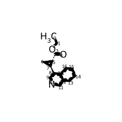 CCOC(=O)[C@H]1C[C@@H]1c1cncc2ccccc12